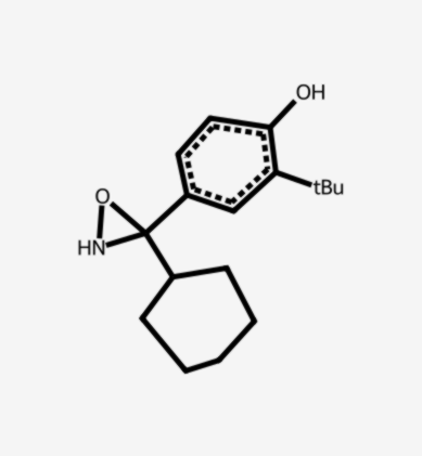 CC(C)(C)c1cc(C2(C3CCCCC3)NO2)ccc1O